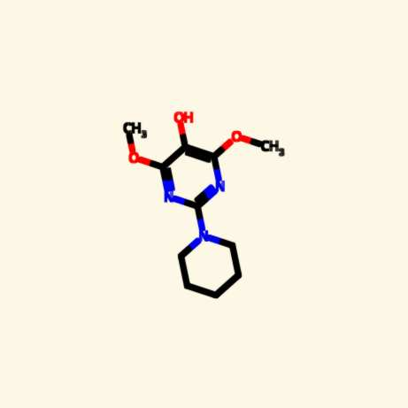 COc1nc(N2CCCCC2)nc(OC)c1O